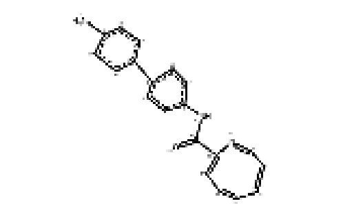 Nc1ccc(-c2ccc(NC(=O)C3=CC=CC=CC=N3)cc2)cc1